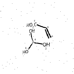 C=CC(=O)O.OP(O)O